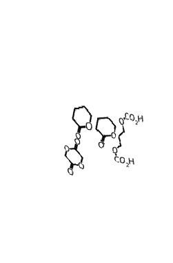 O=C(O)OCCCOC(=O)O.O=C1CCCCO1.O=C1CCCCO1.O=C1COC(=O)CO1